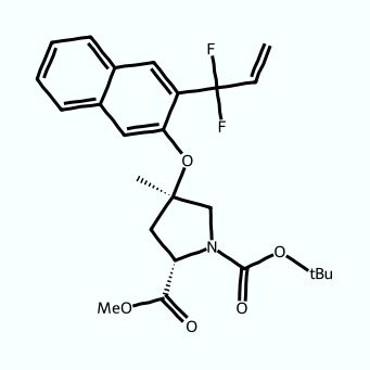 C=CC(F)(F)c1cc2ccccc2cc1O[C@]1(C)C[C@@H](C(=O)OC)N(C(=O)OC(C)(C)C)C1